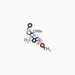 COc1nc(-c2c(C)ccc3c2cnn3S(=O)(=O)c2ccc(C)cc2)nc2c1CN(Cc1ccccc1)CC2